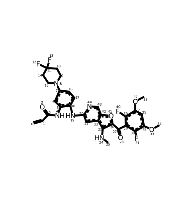 C=CC(=O)Nc1cc(N2CCC(F)(F)CC2)ccc1Nc1cc2c(NC)c(C(=O)c3c(F)c(OC)cc(OC)c3F)oc2cn1